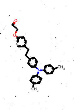 Cc1ccc(N(c2ccc(C)cc2)c2ccc(CCc3ccc(OCC=O)cc3)cc2)cc1